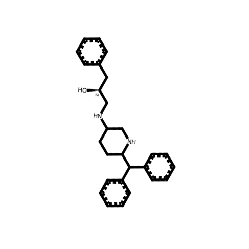 O[C@H](CNC1CCC(C(c2ccccc2)c2ccccc2)NC1)Cc1ccccc1